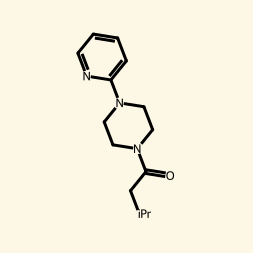 CC(C)CC(=O)N1CCN(c2ccccn2)CC1